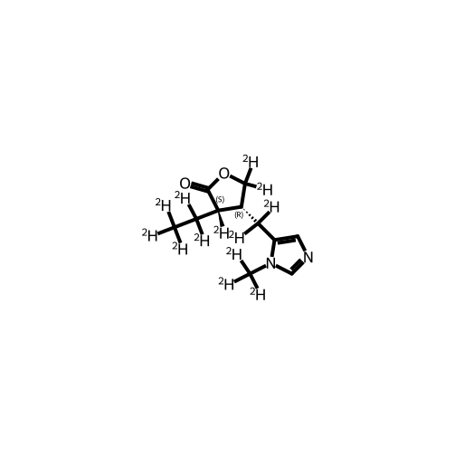 [2H]C1([2H])OC(=O)[C@@]([2H])(C([2H])([2H])C([2H])([2H])[2H])[C@H]1C([2H])([2H])c1cncn1C([2H])([2H])[2H]